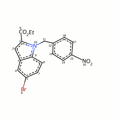 CCOC(=O)c1cc2cc(Br)ccc2n1Cc1ccc([N+](=O)[O-])cc1